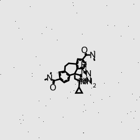 CN(C)C(=O)c1ccc2c(c1)CCc1cc(C(=O)N(C)C)ccc1C2(C[C@@H](N)C1CC1)c1nnn[nH]1